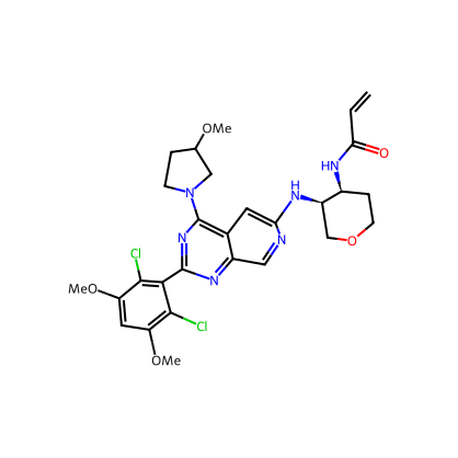 C=CC(=O)N[C@H]1CCOC[C@H]1Nc1cc2c(N3CCC(OC)C3)nc(-c3c(Cl)c(OC)cc(OC)c3Cl)nc2cn1